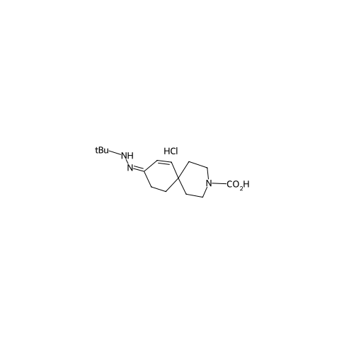 CC(C)(C)NN=C1C=CC2(CC1)CCN(C(=O)O)CC2.Cl